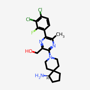 Cc1nc(N2CCC3(CCC[C@H]3N)CC2)c(CO)nc1-c1ccc(Cl)c(Cl)c1F